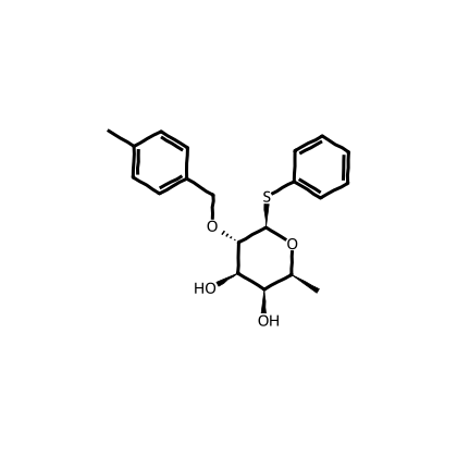 Cc1ccc(CO[C@H]2[C@H](O)[C@H](O)[C@H](C)O[C@@H]2Sc2ccccc2)cc1